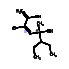 C=C(O)/C(Cl)=C\[C@@](C)(O)C(CC)CC